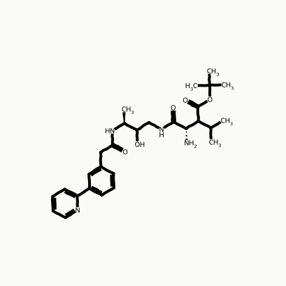 CC(C)C(C(=O)OC(C)(C)C)[C@H](N)C(=O)NCC(O)[C@H](C)NC(=O)Cc1cccc(-c2ccccn2)c1